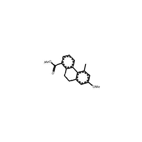 COC(=O)c1cccc2c1CCc1cc(OC)cc(C)c1-2